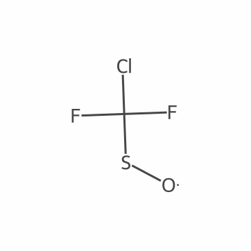 [O]SC(F)(F)Cl